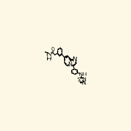 CNC(=O)Cc1cccc(-c2ccn3c(-c4cccc(Nc5nncs5)c4)cnc3c2)c1